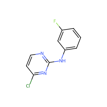 Fc1cccc(Nc2nccc(Cl)n2)c1